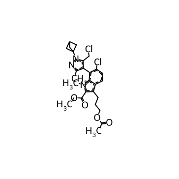 COC(=O)c1c(CCCOC(C)=O)c2ccc(Cl)c(-c3c(C)nn(C45CC(C4)C5)c3CCl)c2n1C